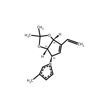 C=CC1=C[C@@H](n2ccc(C)c2)[C@@H]2OC(C)(C)O[C@H]12